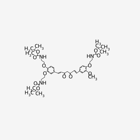 COc1cc(/C=C/C(=O)CC(=O)/C=C/c2ccc(OCCNC(=O)OC(C)(C)C)c(OCCNC(=O)OC(C)(C)C)c2)ccc1OCCNC(=O)OC(C)(C)C